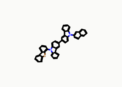 c1ccc2cc(-n3c4ccccc4c4cc(-c5ccc6c(c5)c5ccccc5n6-c5cccc6c5sc5ccccc56)ccc43)ccc2c1